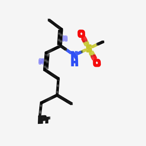 C/C=C(\C=C/CC(C)CC(C)C)NS(C)(=O)=O